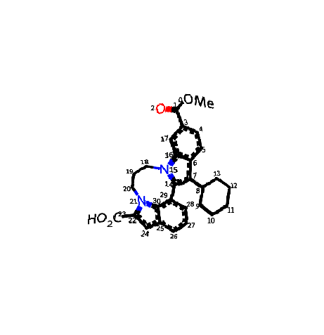 COC(=O)c1ccc2c(C3CCCCC3)c3n(c2c1)CCCn1c(C(=O)O)cc2cccc-3c21